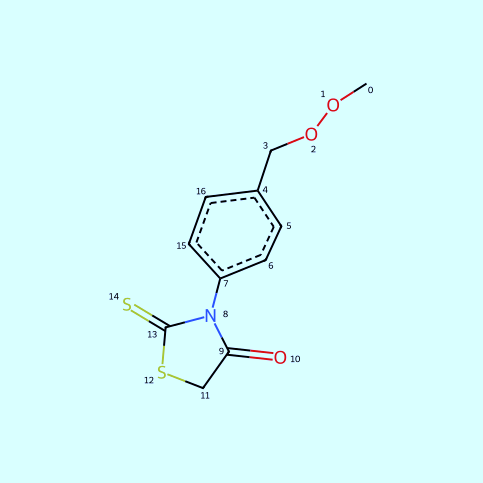 COOCc1ccc(N2C(=O)CSC2=S)cc1